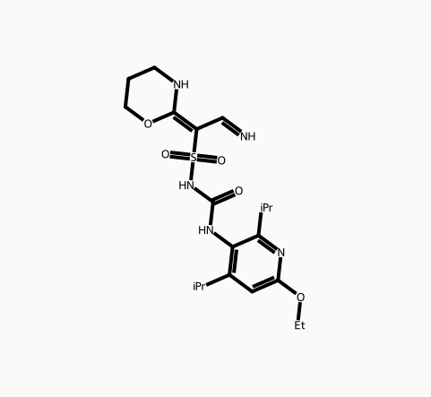 CCOc1cc(C(C)C)c(NC(=O)NS(=O)(=O)/C(C=N)=C2/NCCCO2)c(C(C)C)n1